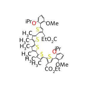 CCOC(=O)Cc1cc(-c2c(OC)cccc2OC(C)C)sc1-c1sc(-c2sc(-c3sc(-c4sc(-c5c(OC)cccc5OC(C)C)cc4CC(=O)OCC)c(C)c3C)c(C)c2C)c(C)c1C